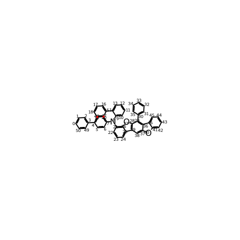 c1ccc(-c2ccc(N(c3ccccc3-c3ccccc3)c3cccc4c3oc3c(-c5ccccc5)c5c(cc34)oc3ccccc35)cc2)cc1